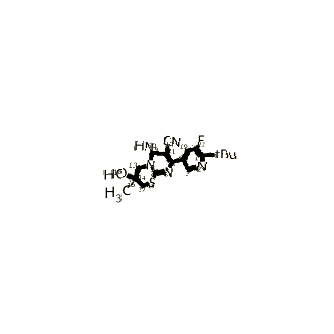 CC(C)(C)c1ncc(-c2nc3n(c(=N)c2C#N)C[C@](C)(O)CS3)cc1F